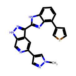 Cn1cc(-c2cc3c(-c4nc5c(-c6ccsc6)cccc5[nH]4)n[nH]c3cn2)cn1